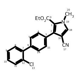 CCOC(=O)c1c(-c2ccc(-c3ccccc3Cl)cc2)c(C#N)cn1C